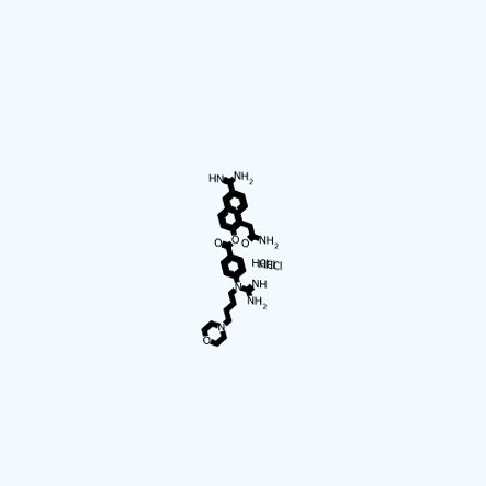 Cl.Cl.Cl.N=C(N)c1ccc2c(CC(N)=O)c(OC(=O)c3ccc(N(CCCCN4CCOCC4)C(=N)N)cc3)ccc2c1